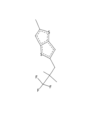 Cc1cc2sc(CC(C)(C)C(F)(F)F)cc2s1